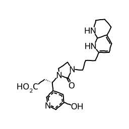 O=C(O)C[C@@H](c1cncc(O)c1)N1CCN(CCCC2=CC=C3CCCNC3N2)C1=O